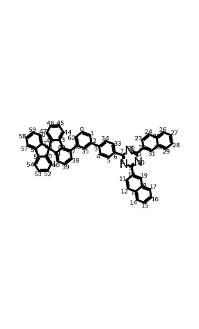 c1cc(-c2ccc(-c3nc(-c4ccc5ccccc5c4)nc(-c4ccc5ccccc5c4)n3)cc2)cc(-c2cccc3c2-c2ccccc2C32c3ccccc3-c3ccccc32)c1